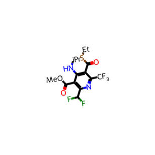 CCSC(=O)c1c(C(F)(F)F)nc(C(F)F)c(C(=O)OC)c1NC(C)C